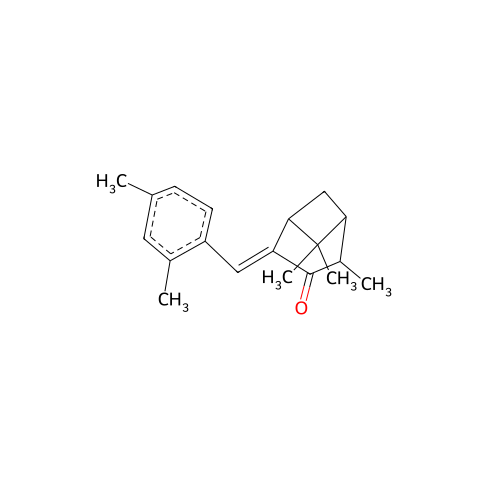 Cc1ccc(C=C2C(=O)C(C)C3CC2C3(C)C)c(C)c1